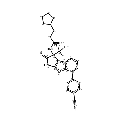 N#Cc1ccc(-c2cccc3c2nc2n3C(NC(=O)CCC3CCCC3)(C(F)(F)F)C(=O)N2)cc1